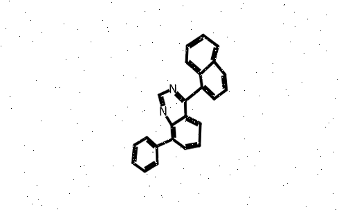 c1ccc(-c2cccc3c(-c4cccc5ccccc45)ncnc23)cc1